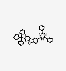 c1ccc(-c2nc(-c3ccccc3)nc(-c3ccc4oc5cc6c(cc5c4c3)-c3ccccc3C6(c3ccccc3)c3ccccc3)n2)cc1